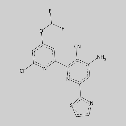 N#Cc1c(N)cc(-c2nccs2)nc1-c1cc(OC(F)F)cc(Cl)n1